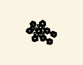 c1ccc(-c2ccc3c(c2)B2c4cc(-c5ccccc5)ccc4-n4c5ccccc5sc5c(-n6c7ccccc7c7ccccc76)c6sc7ccccc7n-3c6c2c54)cc1